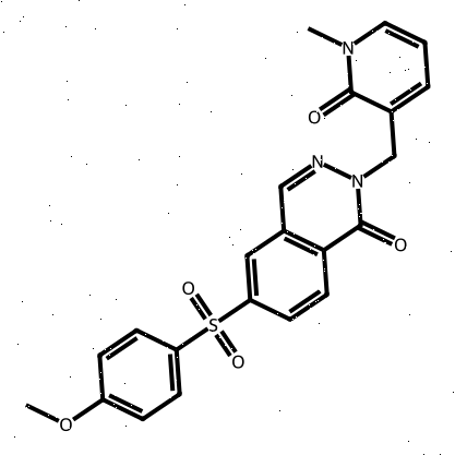 COc1ccc(S(=O)(=O)c2ccc3c(=O)n(Cc4cccn(C)c4=O)ncc3c2)cc1